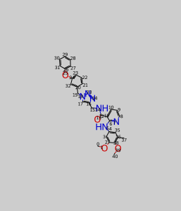 COc1cc(Nc2ncccc2C(=O)NCc2cn(Cc3cccc(Oc4ccccc4)c3)nn2)cc(C)c1OC